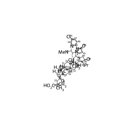 CNCCn1c([C@@]23CC[C@]4(C)[C@H](CC[C@@H]5[C@@]6(C)CC[C@H](OC(=O)CC(C)(C)C(=O)O)C(C)(C)[C@@H]6CC[C@]54C)C2=C(C(C)C)C(=O)C3)cc(=O)n1-c1ccc(Cl)cn1